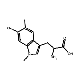 Cc1cc2c(CC(N)C(=O)O)cn(C)c2cc1Cl